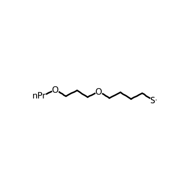 CCCOCCCOCCCC[S]